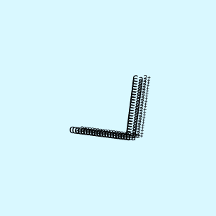 [Ca+2].[Ca+2].[Ca+2].[Ca+2].[Ca+2].[Ca+2].[Ca+2].[Ca+2].[Ca+2].[Ca+2].[Ca+2].[Ca+2].[Ca+2].[Ca+2].[Ca+2].[Ca+2].[Ca+2].[Ca+2].[Ca+2].[Ca+2].[Ca+2].[Ca+2].[Ca+2].[Ca+2].[Ca+2].[Ca+2].[Ca+2].[Ca+2].[Ca+2].[Ca+2].[Ca+2].[Ca+2].[Ca+2].[Ca+2].[Ca+2].[Ca+2].[Ca+2].[Ca+2].[Ca+2].[Ca+2].[Ca+2].[Ca+2].[Ca+2].[Ca+2]